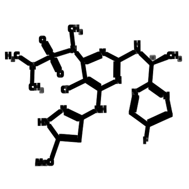 COc1cc(Nc2nc(N[C@@H](C)c3ncc(F)cn3)nc(N(C)S(=O)(=O)N(C)C)c2Cl)n[nH]1